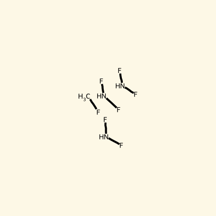 CF.FNF.FNF.FNF